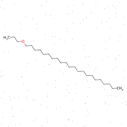 CCCCCCCCCCCCCCCCCCCCC[CH]OCCC